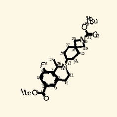 COC(=O)c1cc(F)c2c(c1)CCN(C1CCC3(CC1)CN(C(=O)OC(C)(C)C)C3)C2C